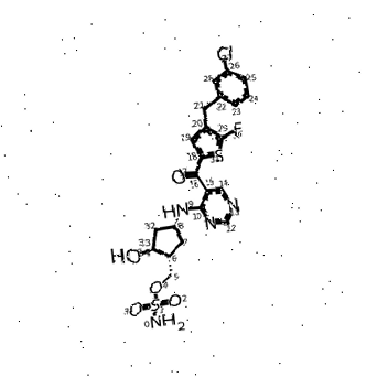 NS(=O)(=O)OC[C@H]1C[C@@H](Nc2ncncc2C(=O)c2cc(Cc3cccc(Cl)c3)c(F)s2)C[C@@H]1O